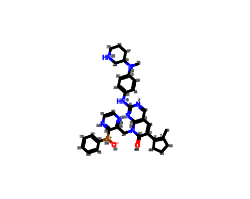 CC1=C(c2cc3cnc(Nc4ccc(N(C)C5CCCNC5)cc4)nc3n(Cc3nccnc3[S+]([O-])c3ccccc3)c2=O)CCC1